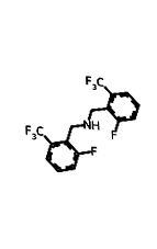 Fc1cccc(C(F)(F)F)c1CNCc1c(F)cccc1C(F)(F)F